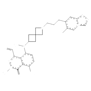 Cc1ccc(N(C)C2CC3(C2)CN(CCCc2cc4nncn4cc2Cl)C3)c2c(C=O)nn(C)c(=O)c12